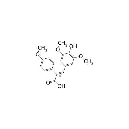 COc1ccc(/C(=C\c2cc(OC)c(O)c(OC)c2)C(=O)O)cc1